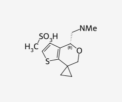 CNC[C@@H]1OCC2(CC2)c2sccc21.CS(=O)(=O)O